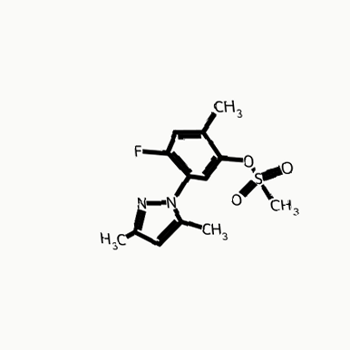 Cc1cc(C)n(-c2cc(OS(C)(=O)=O)c(C)cc2F)n1